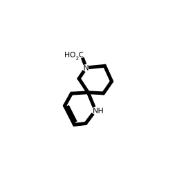 O=C(O)N1CCCC2(CC=CCN2)C1